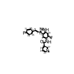 O=C(Nc1cc2c(/C=C/c3ccc(F)cc3)n[nH]c2cc1F)c1cccnc1